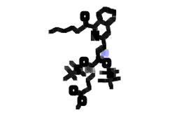 CCCCCC(=O)c1nc(/C=C/[C@@H](O[Si](C)(C)C(C)(C)C)[C@H](CCCC(=O)OC)O[Si](C)(C)C(C)(C)C)cc2ccccc12